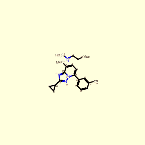 COCCNC(=O)O.COc1ccc(-c2cccc(C#N)c2)n2nc(C3CC3)nc12